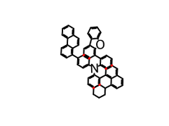 c1ccc(N(c2ccc(-c3cccc4c3ccc3ccccc34)cc2)c2ccccc2-c2cccc3cccc(C4CCCCC4)c23)c(-c2cccc3c2oc2ccccc23)c1